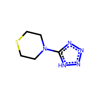 C1CN(c2nnn[nH]2)CCS1